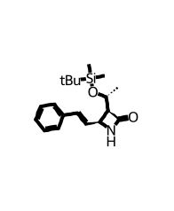 C[C@@H](O[Si](C)(C)C(C)(C)C)[C@H]1C(=O)N[C@H]1/C=C/c1ccccc1